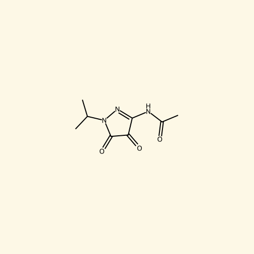 CC(=O)NC1=NN(C(C)C)C(=O)C1=O